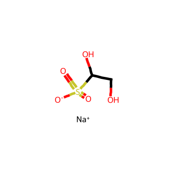 O=S(=O)([O-])C(O)CO.[Na+]